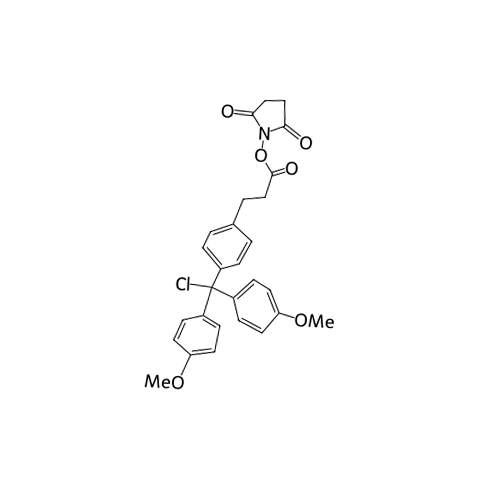 COc1ccc(C(Cl)(c2ccc(CCC(=O)ON3C(=O)CCC3=O)cc2)c2ccc(OC)cc2)cc1